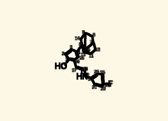 Oc1ccc(C23CC4CC(CC(C4)C2)C3)cc1C=NNc1ccc(F)cc1